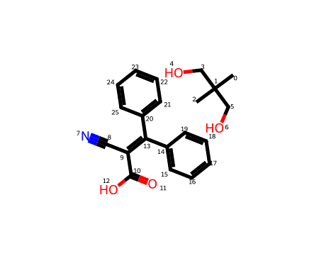 CC(C)(CO)CO.N#CC(C(=O)O)=C(c1ccccc1)c1ccccc1